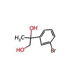 CC(O)(CO)c1cccc(Br)c1